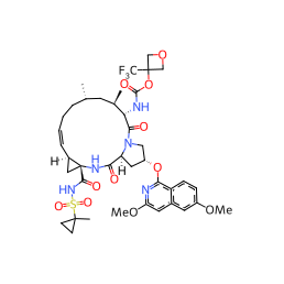 COc1ccc2c(O[C@@H]3C[C@H]4C(=O)N[C@]5(C(=O)NS(=O)(=O)C6(C)CC6)C[C@H]5/C=C\CC[C@H](C)C[C@@H](C)[C@H](NC(=O)OC5(C(F)(F)F)COC5)C(=O)N4C3)nc(OC)cc2c1